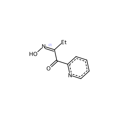 CC/C(=N/O)C(=O)c1ccccn1